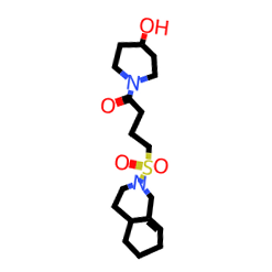 O=C(CCCS(=O)(=O)N1CCC2CCCC=C2C1)N1CCC(O)CC1